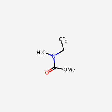 COC(=O)N(C)CC(F)(F)F